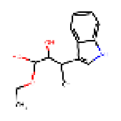 CCOC(O)C(O)C(C)c1c[nH]c2ccccc12